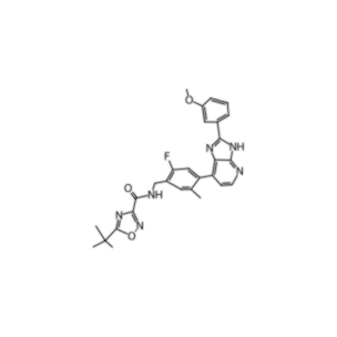 COc1cccc(-c2nc3c(-c4cc(F)c(CNC(=O)c5noc(C(C)(C)C)n5)cc4C)ccnc3[nH]2)c1